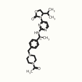 CC(=O)N1CCN(Cc2ccc([C@H](C)Nc3nccc(N4C(=O)OCC4C(C)C)n3)cc2)CC1